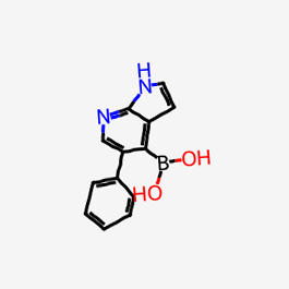 OB(O)c1c(-c2ccccc2)cnc2[nH]ccc12